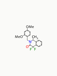 COc1ccc(CN2C(=O)C(F)(F)c3ccccc3C2C)c(OC)c1